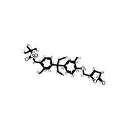 CCC(CC)(c1ccc(CS(=O)(=O)C(C)(C)C)c(C)c1)c1ccc(OCC2=CCC(=O)O2)c(C)c1